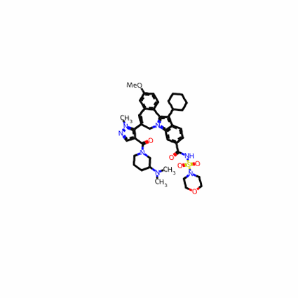 COc1ccc2c(c1)C=C(c1c(C(=O)N3CCCC(N(C)C)C3)cnn1C)Cn1c-2c(C2CCCCC2)c2ccc(C(=O)NS(=O)(=O)N3CCOCC3)cc21